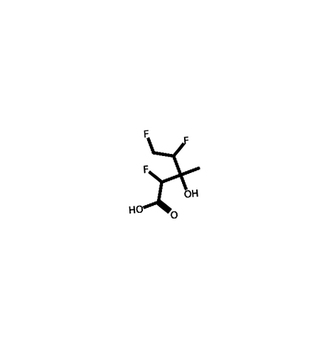 CC(O)(C(F)CF)C(F)C(=O)O